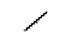 CCCCCCCCCCCCCCCCCC[S-].[K+]